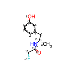 C[C@@H](Cc1cccc(O)c1)NC(=O)CF